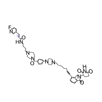 O=C(/C=C/c1ccc(F)nc1)NCCCCN1CCCN(C(=O)c2ccc(N3CCN(CCCCCC#Cc4cccc5c4CN(C4CCC(=O)NC4=O)C5=O)CC3)cc2)CC1